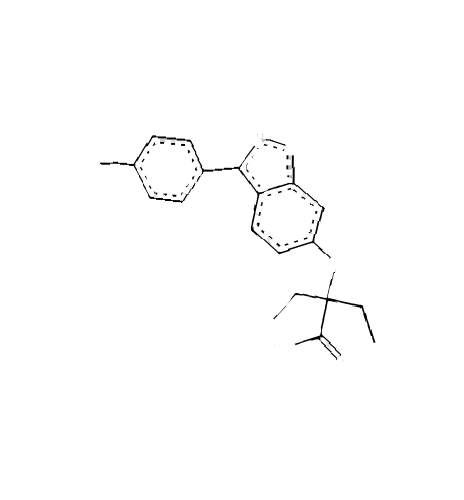 CCC(CC)(Oc1ccc2c(-c3ccc(Cl)cc3)noc2c1)C(=O)O